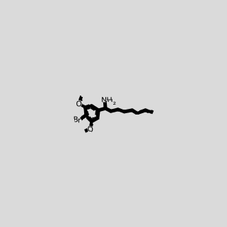 CCCCCCCC(N)c1cc(OC)c(Br)c(OC)c1